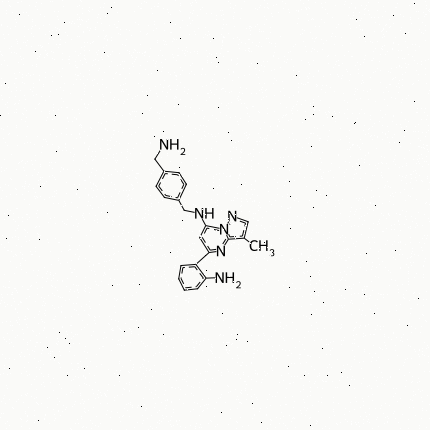 Cc1cnn2c(NCc3ccc(CN)cc3)cc(-c3ccccc3N)nc12